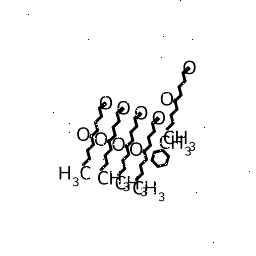 CC1CCCCC1.CCCCCC(=O)CCCC=O.CCCCCC(=O)CCCC=O.CCCCCC(=O)CCCC=O.CCCCCC(=O)CCCC=O.CCCCCC(=O)CCCC=O